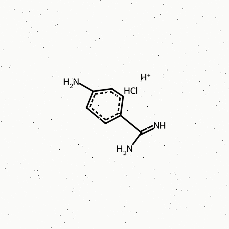 Cl.N=C(N)c1ccc(N)cc1.[H+]